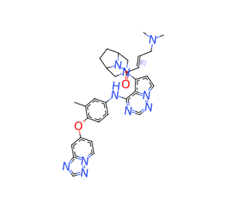 Cc1cc(Nc2ncnn3ccc(N4CC5CCC(C4)N5C(=O)/C=C/CN(C)C)c23)ccc1Oc1ccn2ncnc2c1